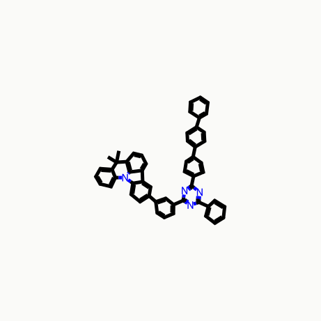 CC1(C)c2ccccc2-n2c3ccc(-c4cccc(-c5nc(-c6ccccc6)nc(-c6ccc(-c7ccc(-c8ccccc8)cc7)cc6)n5)c4)cc3c3cccc1c32